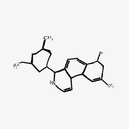 CC1CC(C)CC(C2NC=CC3C2=CC=C2C(Br)CC(C(F)(F)F)=CC23)C1